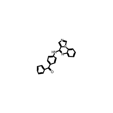 O=C(c1ccccc1)c1ccc(Nc2nc3ccccc3n3cncc23)cc1